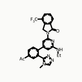 CCNc1cc(-c2ccc(C(C)=O)cc2-c2nncn2C)cc(N2Cc3c(cccc3C(F)(F)F)C2=O)n1